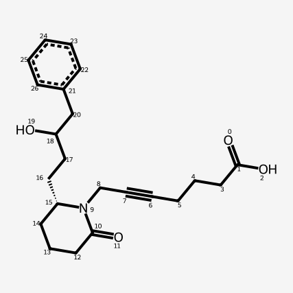 O=C(O)CCCC#CCN1C(=O)CCC[C@@H]1CCC(O)Cc1ccccc1